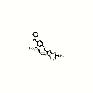 NC(N)=Nc1nc(CSc2ccc(NC3=NCCS3)cc2)cs1.O=C(O)/C=C/C(=O)O